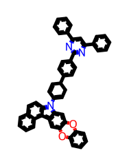 C1=CC(c2ccc(-c3nc(-c4ccccc4)cc(-c4ccccc4)n3)cc2)CC=C1n1c2cc3c(cc2c2c4ccccc4ccc21)Oc1ccccc1O3